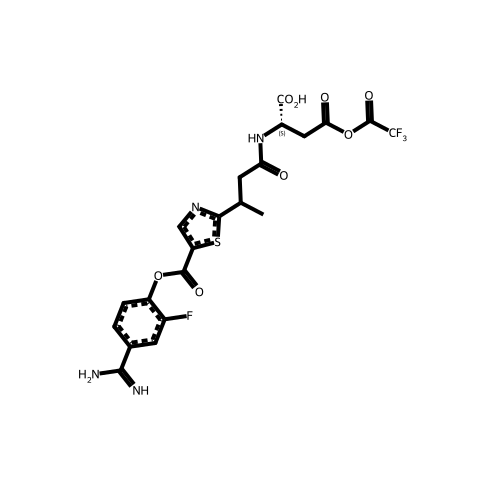 CC(CC(=O)N[C@@H](CC(=O)OC(=O)C(F)(F)F)C(=O)O)c1ncc(C(=O)Oc2ccc(C(=N)N)cc2F)s1